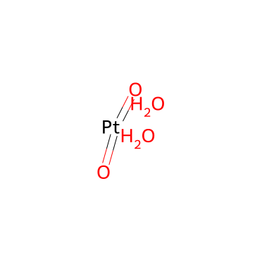 O.O.[O]=[Pt]=[O]